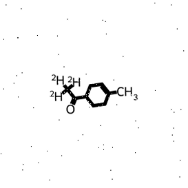 [2H]C([2H])([2H])C(=O)C1CC=C(C)CC1